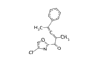 CC(=C=C(C)c1ccccc1)C(=O)c1nc(Cl)co1